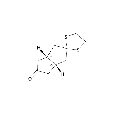 O=C1C[C@@H]2CC3(C[C@@H]2C1)SCCS3